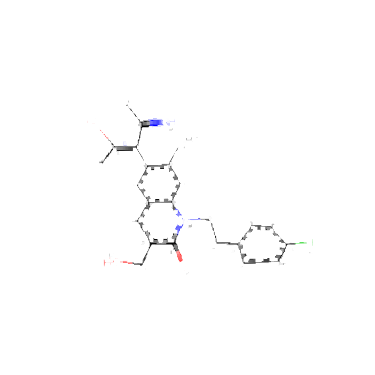 COc1cc2c(cc1/C(C(C)=N)=C(\C)O)cc(CO)c(=O)n2CCc1ccc(Cl)cc1